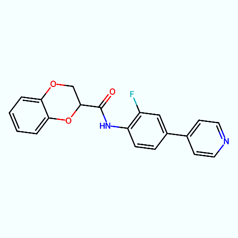 O=C(Nc1ccc(-c2ccncc2)cc1F)C1COc2ccccc2O1